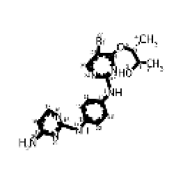 C[C@@H](O)[C@@H](C)Oc1nc(Nc2ccc(Nc3nccc(N)n3)cc2)ncc1Br